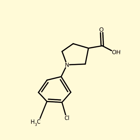 Cc1ccc(N2CCC(C(=O)O)C2)cc1Cl